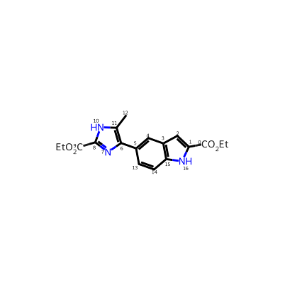 CCOC(=O)c1cc2cc(-c3nc(C(=O)OCC)[nH]c3C)ccc2[nH]1